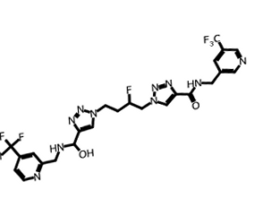 O=C(NCc1cncc(C(F)(F)F)c1)c1cn(CC(F)CCn2cc(C(O)NCc3cc(C(F)(F)I)ccn3)nn2)nn1